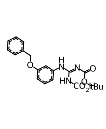 CC(C)(C)OC(=O)N=C(NC(=O)O)Nc1cccc(OCc2ccccc2)c1